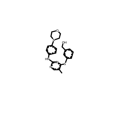 Cc1cnc(Nc2ccc(N3CCOCC3)cc2)nc1Sc1cccc(CO)c1